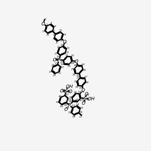 COc1ccc(-c2ccc(Oc3ccc(P(=O)(c4ccccc4)c4ccc(Oc5ccc(-c6ccc(Oc7ccc(P(=O)(C8=CC=CC(S(=O)(=O)O)C8)c8ccc(C)cc8)cc7S(=O)(=O)O)cc6)cc5)cc4)cc3)cc2)cc1